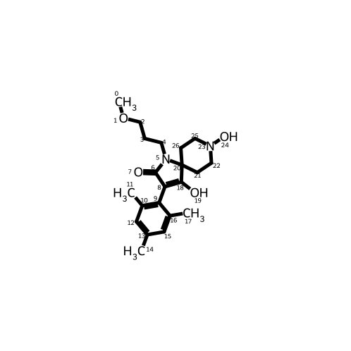 COCCCN1C(=O)C(c2c(C)cc(C)cc2C)=C(O)C12CCN(O)CC2